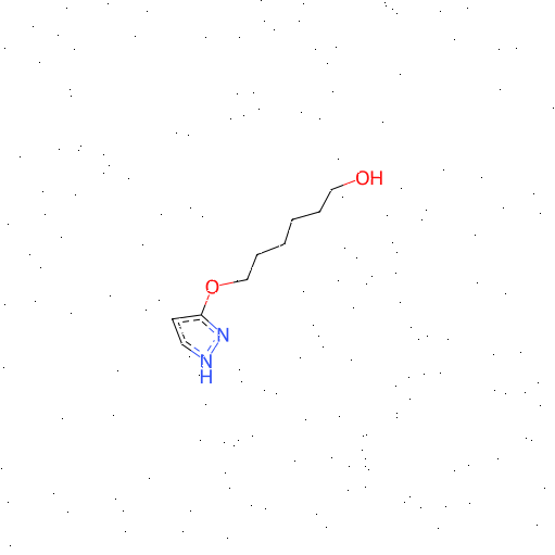 OCCCCCCOc1cc[nH]n1